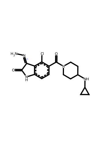 N/N=C1\C(=O)Nc2ccc(C(=O)N3CCC(NC4CC4)CC3)c(Cl)c21